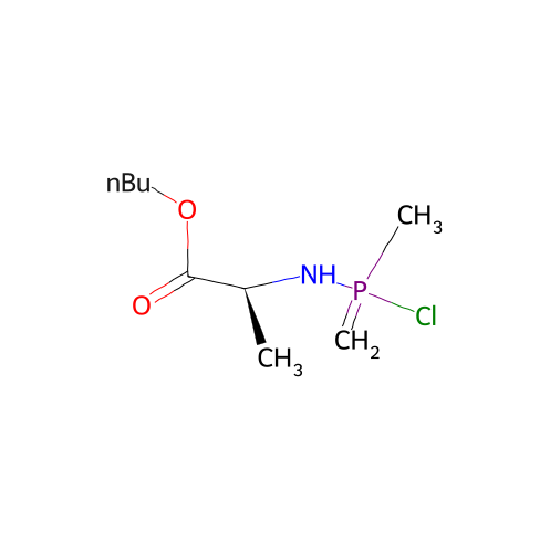 C=P(C)(Cl)N[C@@H](C)C(=O)OCCCC